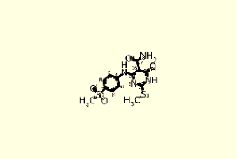 CSc1nc(Nc2ccc(S(C)(=O)=O)cc2)c(C(N)=O)c(=O)[nH]1